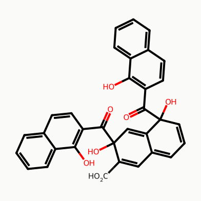 O=C(O)C1=CC2=CC=CC(O)(C(=O)c3ccc4ccccc4c3O)C2=CC1(O)C(=O)c1ccc2ccccc2c1O